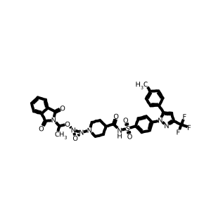 Cc1ccc(-c2cc(C(F)(F)F)nn2-c2ccc(S(=O)(=O)NC(=O)C3CCN(n4on4OC(C)N4C(=O)c5ccccc5C4=O)CC3)cc2)cc1